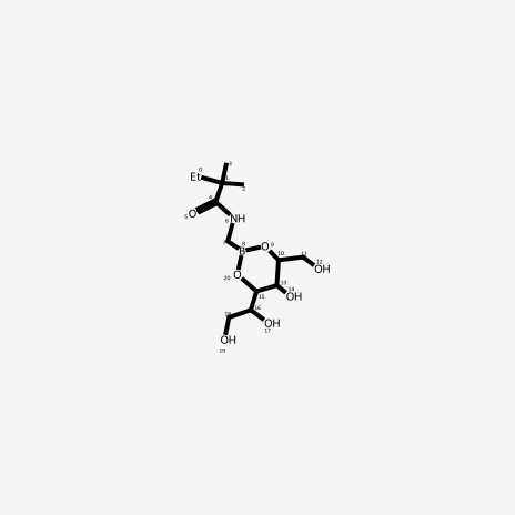 CCC(C)(C)C(=O)NCB1OC(CO)C(O)C(C(O)CO)O1